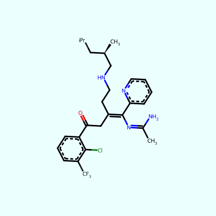 C/C(N)=N/C(=C(/CCNC[C@H](C)CC(C)C)CC(=O)c1cccc(C(F)(F)F)c1Cl)c1ccccn1